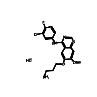 COc1cc2ncnc(Nc3ccc(F)c(Cl)c3)c2cc1OCCCN.Cl